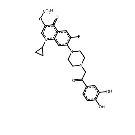 O=C(O)Oc1cn(C2CC2)c2cc(N3CCN(CC(=O)c4ccc(O)c(O)c4)CC3)c(F)cc2c1=O